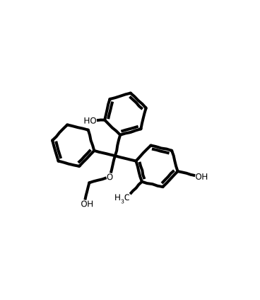 Cc1cc(O)ccc1C(OCO)(C1=CC=CCC1)c1ccccc1O